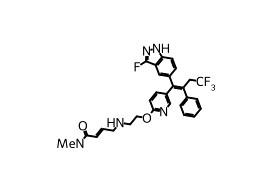 CNC(=O)/C=C/CNCCOc1ccc(/C(=C(/CC(F)(F)F)c2ccccc2)c2ccc3[nH]nc(F)c3c2)cn1